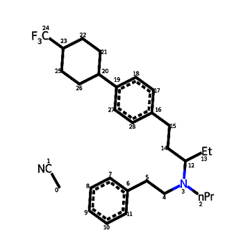 CC#N.CCCN(CCc1ccccc1)C(CC)CCc1ccc(C2CCC(C(F)(F)F)CC2)cc1